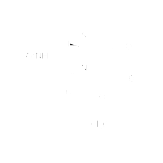 CC(=O)NC1C(=O)N2C(C(=O)OCC(Cl)(Cl)Cl)=C(O)CS[C@@H]12